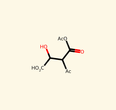 CC(=O)OC(=O)C(C(C)=O)C(O)C(=O)O